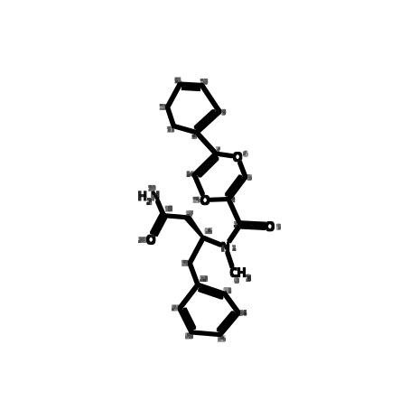 CN(C(=O)C1=COC(C2=CC=CCC2)=CO1)[C@H](CC(N)=O)Cc1ccccc1